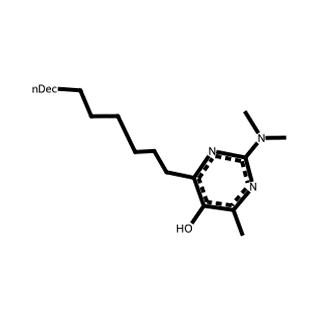 CCCCCCCCCCCCCCCCc1nc(N(C)C)nc(C)c1O